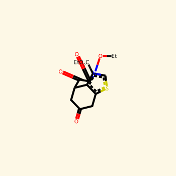 CCOC(=O)c1c2sc3c1C(CC(=O)C3)C(=O)C(=O)N2OCC